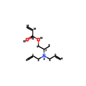 C=CCN(CC=C)C(C)COC(=O)C=C